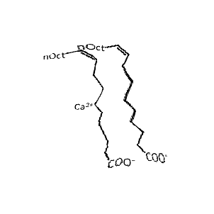 CCCCCCCC/C=C\CCCCCCCC(=O)[O-].CCCCCCCC/C=C\CCCCCCCC(=O)[O-].[Ca+2]